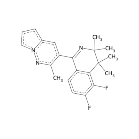 Cc1nn2cccc2cc1C1=NC(C)(C)C(C)(C)c2c1ccc(F)c2F